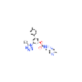 CCc1nnnn1-c1cc(OC(=O)NCc2cnc(C)cn2)cc(-c2ccc(C)cc2)c1